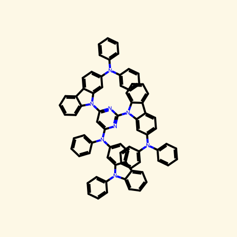 c1ccc(N(c2ccccc2)c2ccc3c4ccccc4n(-c4cc(N(c5ccccc5)c5ccc6c7ccccc7n(-c7ccccc7)c6c5)nc(-n5c6ccccc6c6ccc(N(c7ccccc7)c7ccccc7)cc65)n4)c3c2)cc1